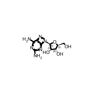 Nc1nc(N)c2ncn([C@H]3O[C@@H](CO)[C@H](O)[C@@H]3O)c2n1